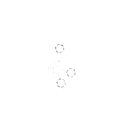 CC(NS(=O)(=O)C(C)(C)Cc1ccccc1)C(Cc1ccccc1)c1ccc(Cl)cc1